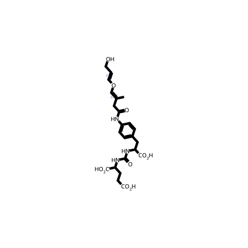 C/C(=C\O/C=C/CO)CC(=O)Nc1ccc(CC(NC(=O)NC(CCC(=O)O)C(=O)O)C(=O)O)cc1